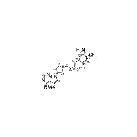 CNc1ncnc2c1ccn2[C@H]1CC[C@@H](CCc2ccc3cc(C(F)(F)F)c(N)nc3c2)C1